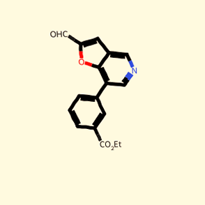 CCOC(=O)c1cccc(-c2cncc3cc(C=O)oc23)c1